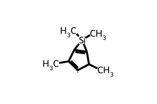 CC1=[C]C(C)C2=C1[Si]2(C)C